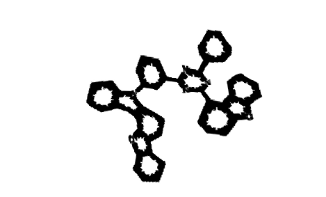 c1ccc(-c2nc(-c3cccc(-n4c5ccccc5c5c6oc7ccccc7c6ccc54)c3)nc(-c3cccc4oc5ccccc5c34)n2)cc1